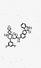 O=C(CN1C(=O)C2(CC3(COC3)C2)NCC1c1cc(F)cc(F)c1)Nc1ccc2c(c1)CC1(C2)C(=O)Nc2ccccc21